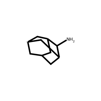 NC1C2C[C]3CC(C2)CC1C3